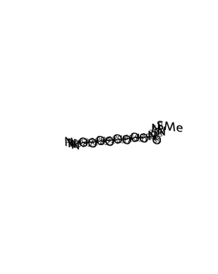 CSc1ncc2c(n1)CN(CCOCCOCCOCCOCCOCCOCCOCCOCCN=[N+]=[N-])C2=O